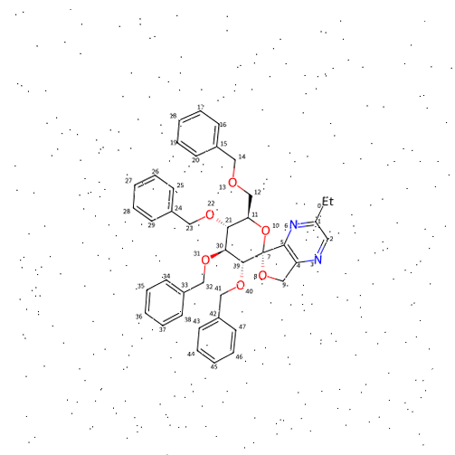 CCc1cnc2c(n1)[C@]1(OC2)O[C@H](COCc2ccccc2)[C@@H](OCc2ccccc2)[C@H](OCc2ccccc2)[C@H]1OCc1ccccc1